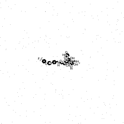 CN(CCCC(=O)NCc1ccc(N2CCC(Oc3ccc(C(F)(F)F)cc3)CC2)cc1)[C@H](C(N)=O)[C@H](O[C@@H]1O[C@H](CN)[C@@H](O)[C@H]1O)C1OC(n2ccc(=O)[nH]c2=O)[C@H](O)[C@@H]1O